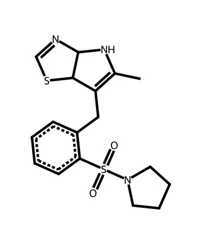 CC1=C(Cc2ccccc2S(=O)(=O)N2CCCC2)C2SC=NC2N1